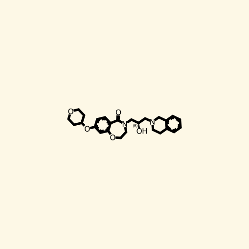 O=C1c2ccc(OC3CCOCC3)cc2OCCN1C[C@H](O)CN1CCc2ccccc2C1